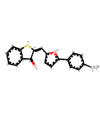 O=C(O)c1ccc(-c2ccc(/C=C3/Sc4ccccc4C3=O)o2)cc1